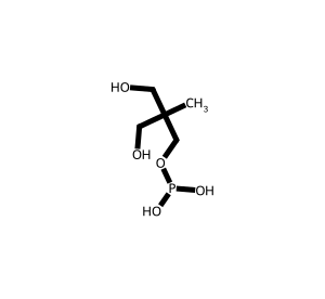 CC(CO)(CO)COP(O)O